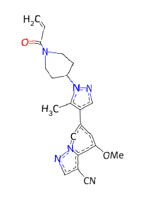 C=CC(=O)N1CCC(n2ncc(-c3cc(OC)c4c(C#N)cnn4c3)c2C)CC1